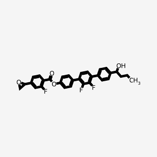 CCCC(O)c1ccc(-c2ccc(-c3ccc(OC(=O)c4ccc(C5CO5)cc4F)cc3)c(F)c2F)cc1